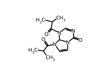 CC(C)C(=O)N1C=CN2C(=O)N=CN(C(=O)C(C)C)C21